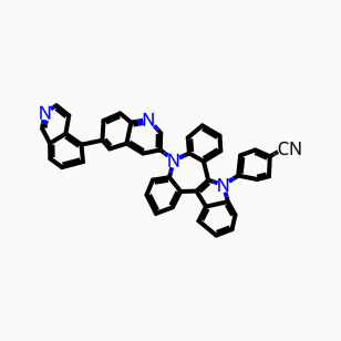 N#Cc1ccc(-n2c3c(c4ccccc42)-c2ccccc2N(c2cnc4ccc(-c5cccc6cnccc56)cc4c2)c2ccccc2-3)cc1